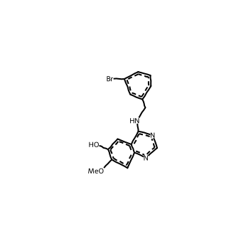 COc1cc2ncnc(NCc3cccc(Br)c3)c2cc1O